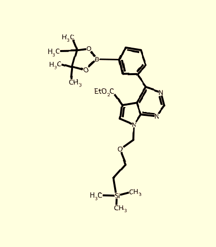 CCOC(=O)c1cn(COCC[Si](C)(C)C)c2ncnc(-c3cccc(B4OC(C)(C)C(C)(C)O4)c3)c12